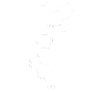 CCOc1ccccc1C(=O)Nc1cnc(-n2c(C)nc3cc(OC)ccc32)cn1